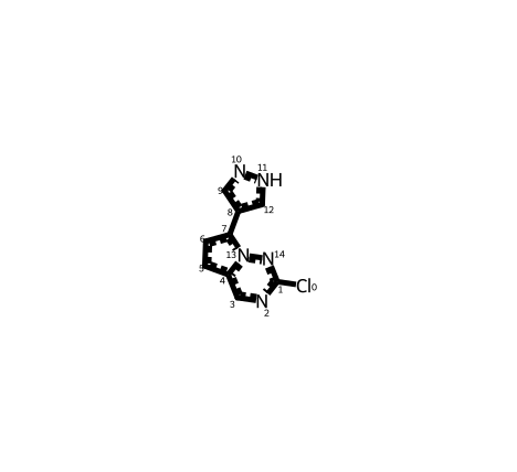 Clc1ncc2ccc(-c3cn[nH]c3)n2n1